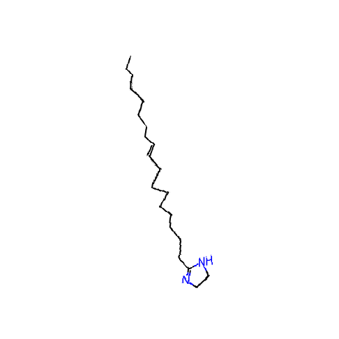 CCCCCCCCC=CCCCCCCCCC1=NCCN1